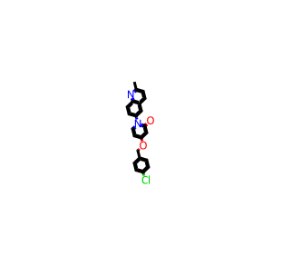 Cc1ccc2cc(-n3ccc(OCc4ccc(Cl)cc4)cc3=O)ccc2n1